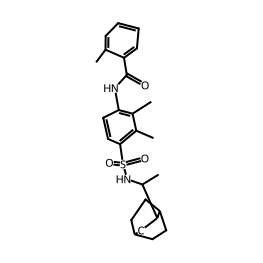 Cc1ccccc1C(=O)Nc1ccc(S(=O)(=O)NC(C)C2CC3CCC2CC3)c(C)c1C